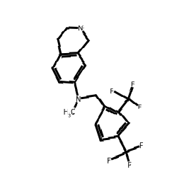 CN(Cc1ccc(C(F)(F)F)cc1C(F)(F)F)c1ccc2c(c1)C[N]CC2